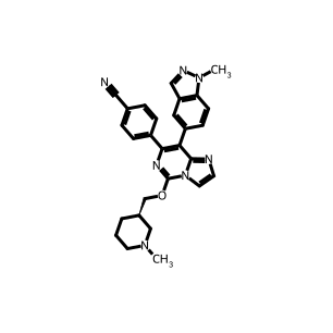 CN1CCC[C@@H](COc2nc(-c3ccc(C#N)cc3)c(-c3ccc4c(cnn4C)c3)c3nccn23)C1